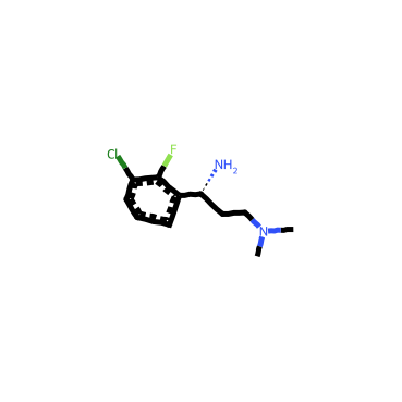 CN(C)CC[C@@H](N)c1cccc(Cl)c1F